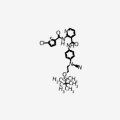 CC(C)(C)[Si](C)(C)OCCN(C#N)c1ccc(NC(=O)c2cccnc2NC(=O)c2ccc(Cl)s2)cc1